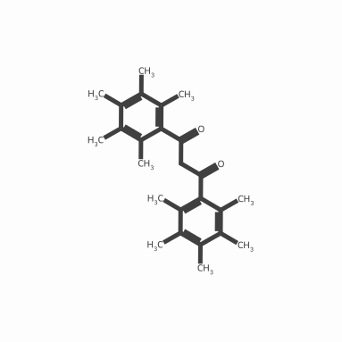 Cc1c(C)c(C)c(C(=O)CC(=O)c2c(C)c(C)c(C)c(C)c2C)c(C)c1C